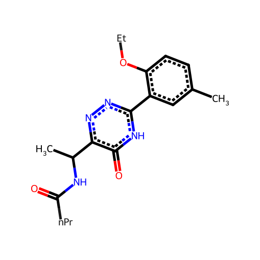 CCCC(=O)NC(C)c1nnc(-c2cc(C)ccc2OCC)[nH]c1=O